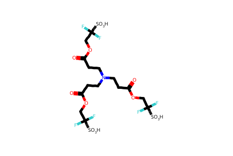 O=C(CCN(CCC(=O)OCC(F)(F)S(=O)(=O)O)CCC(=O)OCC(F)(F)S(=O)(=O)O)OCC(F)(F)S(=O)(=O)O